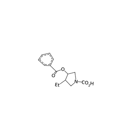 CCC1CN(C(=O)O)CC1OC(=O)c1ccccc1